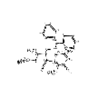 COCC(C)N1CC(C(c2ccccc2)c2ccccc2)n2c(OC)nc(=O)c(C=O)c2C1=O